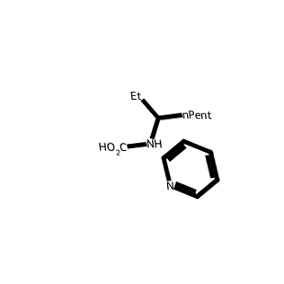 CCCCCC(CC)NC(=O)O.c1ccncc1